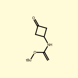 C=C(NC1CC(=O)C1)OC(C)(C)C